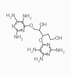 Nc1nc(N)c(N)c(OCC(O)C(CCO)Oc2nc(N)nc(N)c2N)n1